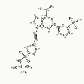 CC(C)(C)NS(=O)(=O)c1ccc(C#Cc2cnn3c(C(F)F)cc(-c4cccc(C(F)(F)F)c4)nc23)s1